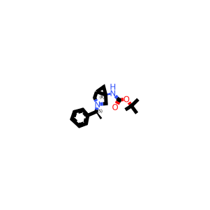 C[C@@H](c1ccccc1)N1CC2C[C@]2(NC(=O)OC(C)(C)C)C1